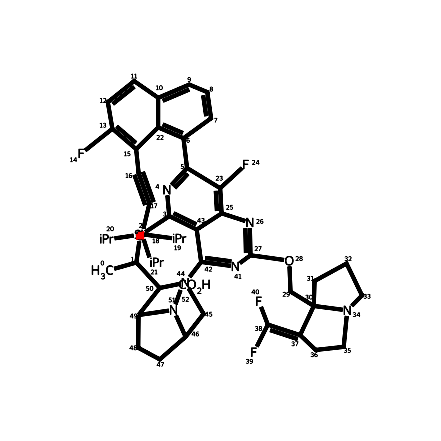 CC1Oc2nc(-c3cccc4ccc(F)c(C#C[Si](C(C)C)(C(C)C)C(C)C)c34)c(F)c3nc(OCC45CCCN4CCC5=C(F)F)nc(c23)N2CC3CCC(C12)N3C(=O)O